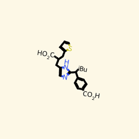 CCC(C)C(c1ccc(C(=O)O)cc1)c1ncc(CC(Cc2cccs2)C(=O)O)[nH]1